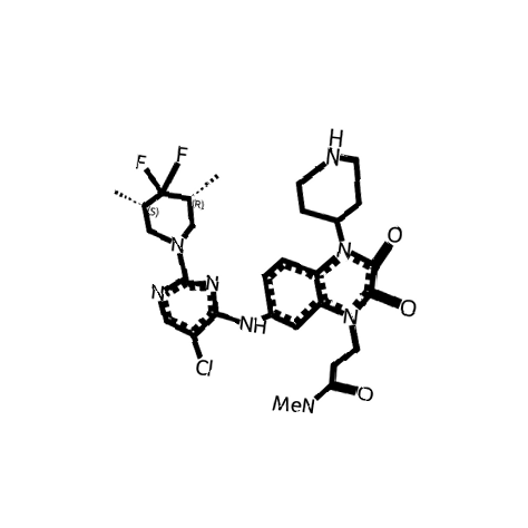 CNC(=O)CCn1c(=O)c(=O)n(C2CCNCC2)c2ccc(Nc3nc(N4C[C@@H](C)C(F)(F)[C@@H](C)C4)ncc3Cl)cc21